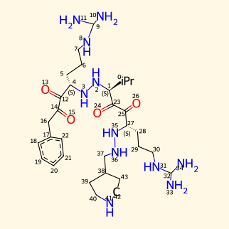 CC(C)[C@H](NN[C@@H](CCCNC(N)N)C(=O)C(=O)Cc1ccccc1)C(=O)C(=O)[C@H](CCCNC(N)N)NNCC1CCNCC1